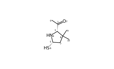 CC(=O)[C@H]1N[C@@H](S)CC1(C)C